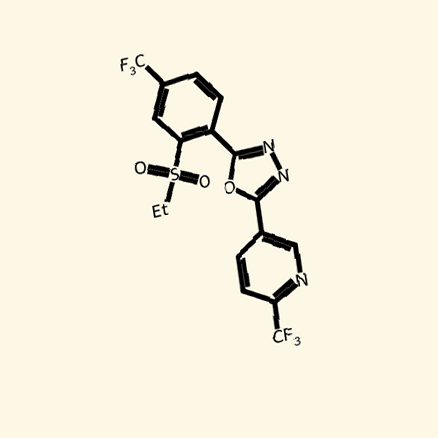 CCS(=O)(=O)c1cc(C(F)(F)F)ccc1-c1nnc(-c2ccc(C(F)(F)F)nc2)o1